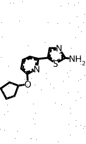 Nc1ncc(-c2cccc(OC3CCCC3)n2)s1